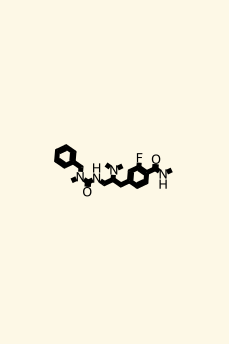 CNC(=O)c1ccc(CC(CNC(=O)N(C)Cc2ccccc2)N(C)C)cc1F